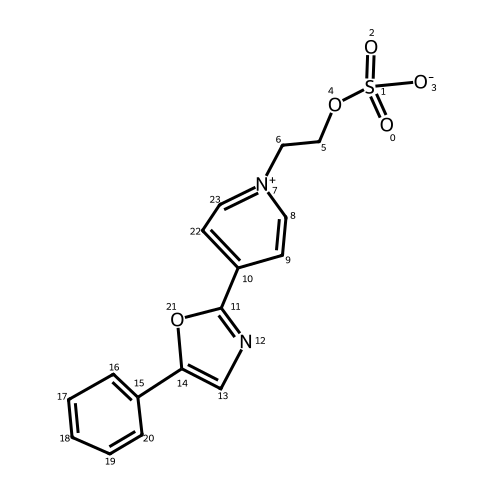 O=S(=O)([O-])OCC[n+]1ccc(-c2ncc(-c3ccccc3)o2)cc1